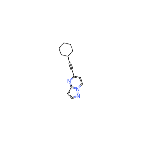 C(#CC1CCCCC1)c1ccn2nccc2n1